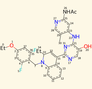 CCOc1cc(F)c(CN2c3ccccc3C(c3ncc(O)c(Nc4cc(NC(C)=O)ncc4C)n3)=CC2CC)c(F)c1